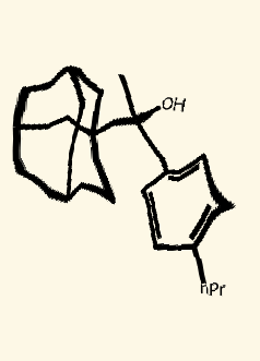 CCCc1ccc(C(C)(O)C23CC4CC(CC(C4)C2)C3)cc1